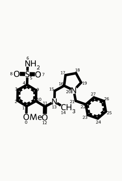 COc1ccc(S(N)(=O)=O)cc1C(=O)N(C)CC1CCCN1Cc1ccccc1